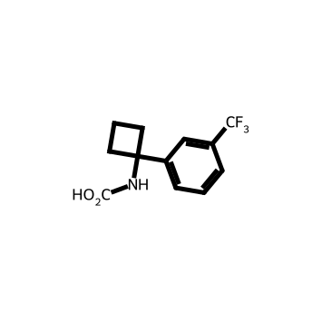 O=C(O)NC1(c2cccc(C(F)(F)F)c2)CCC1